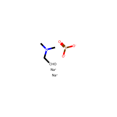 CN(C)CC=O.O=S([O-])[O-].[Na+].[Na+]